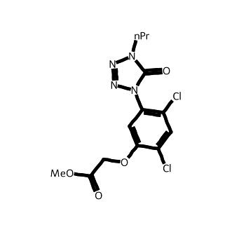 CCCn1nnn(-c2cc(OCC(=O)OC)c(Cl)cc2Cl)c1=O